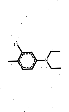 CCN(CC)c1ccc(C)c(Cl)c1